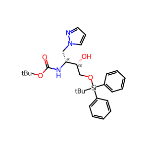 CC(C)(C)OC(=O)N[C@H](Cn1cccn1)[C@H](O)CO[Si](c1ccccc1)(c1ccccc1)C(C)(C)C